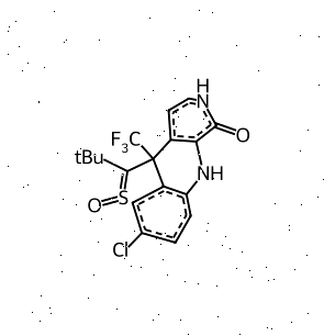 CC(C)(C)C(=S=O)C1(C(F)(F)F)c2cc(Cl)ccc2Nc2c1cc[nH]c2=O